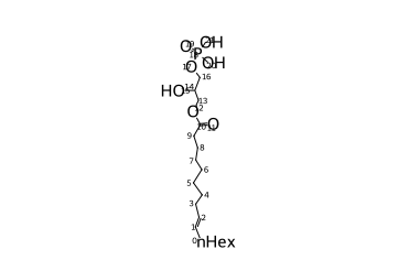 CCCCCC/C=C/CCCCCCCC(=O)OCC(O)COP(=O)(O)O